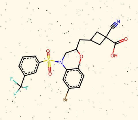 N#CC1(C(=O)O)CC(CC2CN(S(=O)(=O)c3cccc(C(F)(F)F)c3)c3cc(Br)ccc3O2)C1